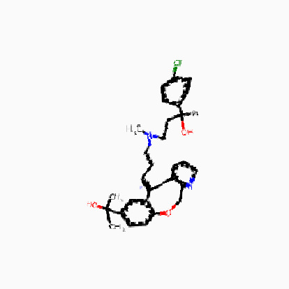 CC(C)C(O)(CCN(C)CC/C=C1/c2cc(C(C)(C)O)ccc2OCc2ncccc21)c1ccc(Cl)cc1